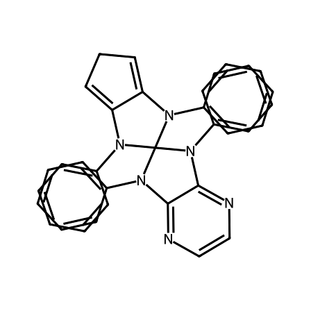 C1=C2C(=CC1)N(c1ccccc1)C1(N2c2ccccc2)N(c2ccccc2)c2nccnc2N1c1ccccc1